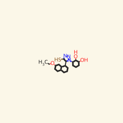 CCOc1ccc2cccc(-c3c(S)nnn3-c3cccc(O)c3O)c2c1